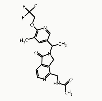 CC(=O)NCc1nccc2c1CN(C(C)c1cnc(OCC(F)(F)F)c(C)c1)C2=O